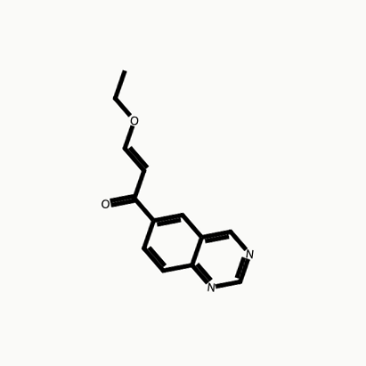 CCOC=CC(=O)c1ccc2ncncc2c1